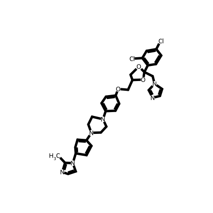 Cc1nccn1-c1ccc(N2CCN(c3ccc(OCC4COC(Cn5ccnc5)(c5ccc(Cl)cc5Cl)O4)cc3)CC2)cc1